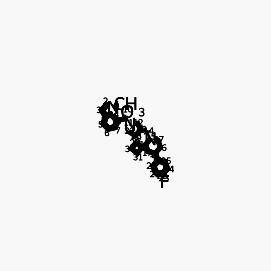 Cn1ccc2cccc(C(=O)N3C[C@@H](CN4CCC(c5ccc(F)cc5)CC4)[C@H](C4CCC4)C3)c21